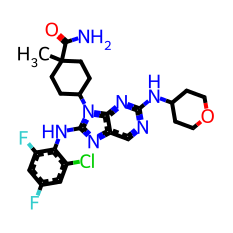 CC1(C(N)=O)CCC(n2c(Nc3c(F)cc(F)cc3Cl)nc3cnc(NC4CCOCC4)nc32)CC1